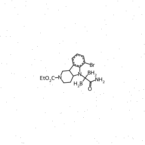 BC(B)(C(N)=O)N1c2c(Br)cccc2C2CN(C(=O)OCC)CCC21